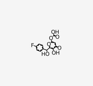 O=C(O)Oc1cc(=O)c(O)c(C(O)c2ccc(F)cc2)o1